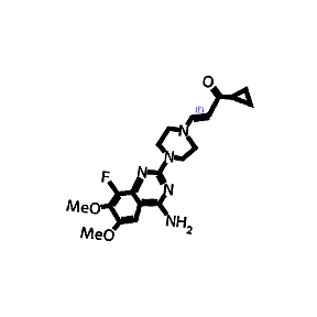 COc1cc2c(N)nc(N3CCN(/C=C/C(=O)C4CC4)CC3)nc2c(F)c1OC